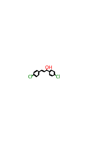 OC(C=Cc1ccc(Cl)cc1)c1ccc(Cl)cc1